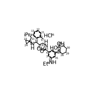 CCNc1cc(C(=O)N[C@@H](Cc2ccccc2)[C@H](O)CNC2(CC(C)C)CC2)cc(N2CCCCS2(O)O)c1.Cl